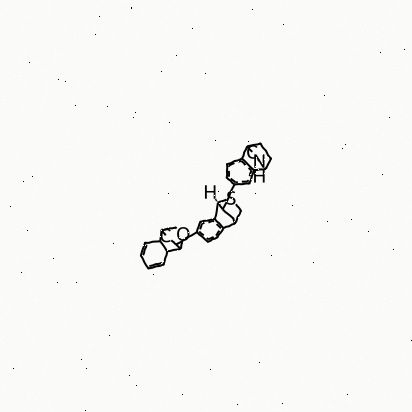 C1=CC2C3COC(C(c4ccc5c(c4)[C@H]4SCC5CC4c4ccc5c(c4)C4CCC5CN4)C3)C2C=C1